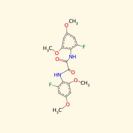 COc1cc(F)c(NC(=O)C(=O)Nc2c(F)cc(OC)cc2OC)c(OC)c1